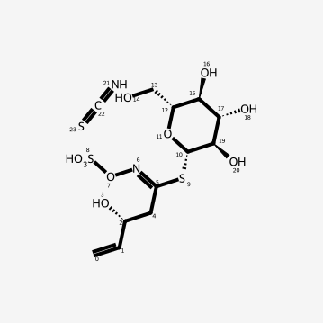 C=C[C@H](O)CC(=NOS(=O)(=O)O)S[C@@H]1O[C@H](CO)[C@@H](O)[C@H](O)[C@H]1O.N=C=S